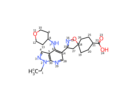 CCn1ncc2c(NC3CCOCC3)c(C3=NOC4(CCC(C(=O)O)CC4)C3)cnc21